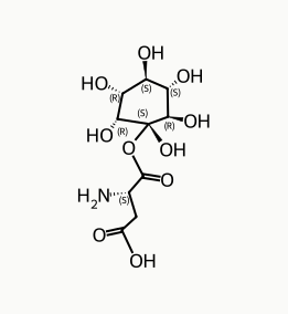 N[C@@H](CC(=O)O)C(=O)O[C@]1(O)[C@H](O)[C@H](O)[C@@H](O)[C@H](O)[C@H]1O